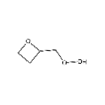 OOCC1CCO1